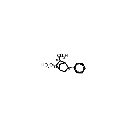 O=C(O)[C@@H]1C2CC([C@H](c3ccccc3)C2)[C@@H]1C(=O)O